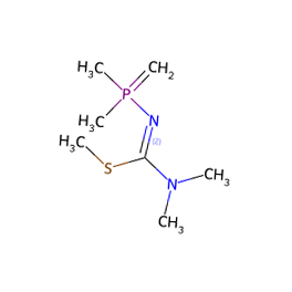 C=P(C)(C)/N=C(\SC)N(C)C